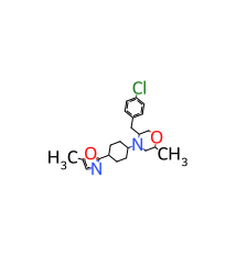 Cc1cnc(C2CCC(N3CC(C)OCC3Cc3ccc(Cl)cc3)CC2)o1